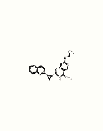 CC(NC(=O)[C@@H]1C[C@H]1c1ccc2ccccc2n1)c1cnc(OCC(F)(F)F)cn1